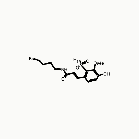 COc1c(O)ccc(C=CC(=O)NCCCCBr)c1S(C)(=O)=O